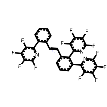 Fc1nc(-c2ccccc2/C=C/c2cccc(-c3nc(F)c(F)c(F)c3F)c2-c2nc(F)c(F)c(F)c2F)c(F)c(F)c1F